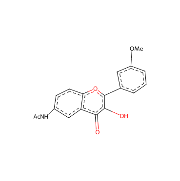 COc1cccc(-c2oc3ccc(NC(C)=O)cc3c(=O)c2O)c1